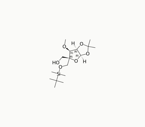 CO[C@H]1[C@H]2OC(C)(C)O[C@H]2O[C@]1(CO)CO[Si](C)(C)C(C)(C)C